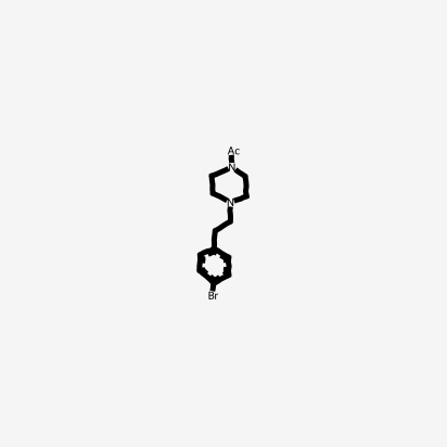 CC(=O)N1CCN(CCc2ccc(Br)cc2)CC1